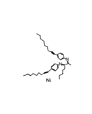 CCCCCCCC#Cc1ccc(N=C(C)C(CCCCC)=Nc2ccc(C#CCCCCCCC)cc2)cc1.[Ni]